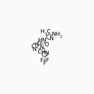 Cc1cc(NC(=O)C(=O)N(Cc2ccc(C(F)(F)F)cn2)[C@@H](C)c2ncccn2)cnc1N